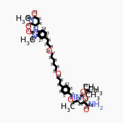 C[C@@H](OCc1ccc(CCCOCCCCCCOCCCc2ccc3c(c2)n(C)c(=O)n3C2CCC(=O)N(C)C2=O)cc1)[C@H](CCC(N)=O)NC(=O)OC(C)(C)C